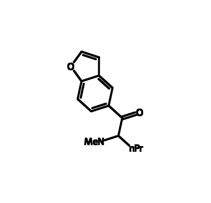 CCCC(NC)C(=O)c1ccc2occc2c1